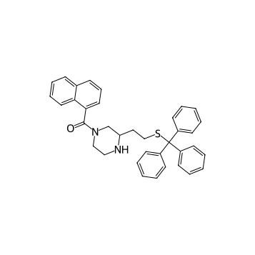 O=C(c1cccc2ccccc12)N1CCNC(CCSC(c2ccccc2)(c2ccccc2)c2ccccc2)C1